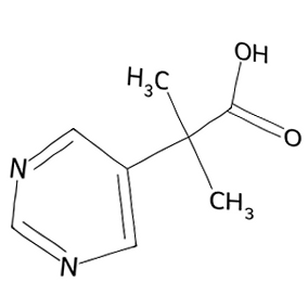 CC(C)(C(=O)O)c1cncnc1